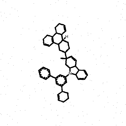 CC1(C2CC[C@@H]3C(C2)C2=C(CCC=C2)C2CCC=CC23)C=CC2C3C=CC=CC3N(c3cc(-c4ccccc4)cc(C4C=CCCC4)c3)C2C1